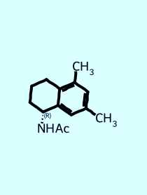 CC(=O)N[C@@H]1CCCc2c(C)cc(C)cc21